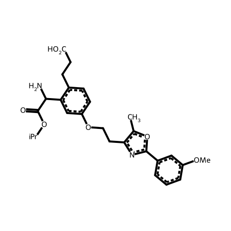 COc1cccc(-c2nc(CCOc3ccc(CCC(=O)O)c(C(N)C(=O)OC(C)C)c3)c(C)o2)c1